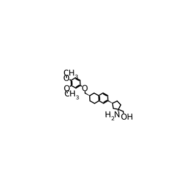 COc1ccc(OC[C@@H]2CCc3cc([C@H]4CC[C@](N)(CO)C4)ccc3C2)cc1OC